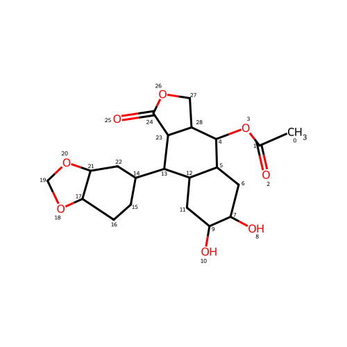 CC(=O)OC1C2CC(O)C(O)CC2C(C2CCC3OCOC3C2)C2C(=O)OCC12